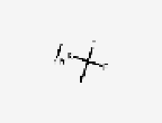 CCCC.F[C](F)(F)[K]